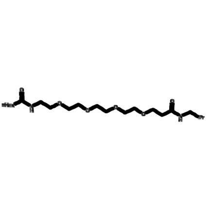 CCCCCCC(=O)NCCOCCOCCOCCOCCC(=O)NCC(C)C